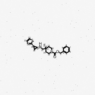 O=C(OCc1ccccc1)N1CCC(F)(CN[C@@H]2C[C@H]2c2nccs2)CC1